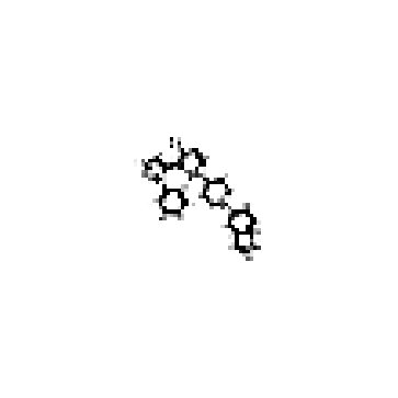 O=c1ccn(C2CCN(c3ccc4occc4c3)CC2)nc1-c1ccnn1-c1ccccc1